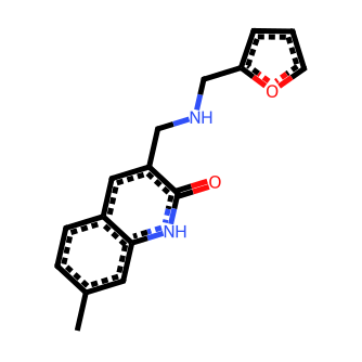 Cc1ccc2cc(CNCc3ccco3)c(=O)[nH]c2c1